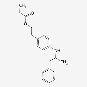 C=CC(=O)OCCc1ccc(NC(C)Cc2ccccc2)cc1